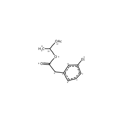 CCc1cccc(CC(=O)OC(C)OC(C)=O)c1